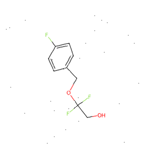 OCC(F)(F)OCc1ccc(F)cc1